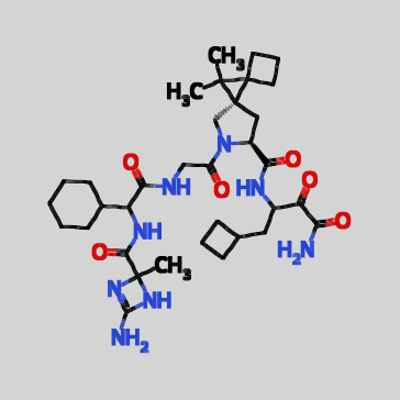 CC1(C(=O)NC(C(=O)NCC(=O)N2C[C@]3(C[C@H]2C(=O)NC(CC2CCC2)C(=O)C(N)=O)C(C)(C)C32CCC2)C2CCCCC2)N=C(N)N1